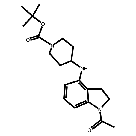 CC(=O)N1CCc2c(NC3CCN(C(=O)OC(C)(C)C)CC3)cccc21